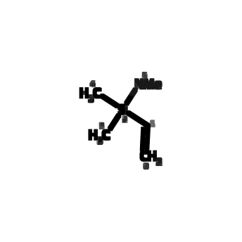 C=C[Si](C)(C)NC